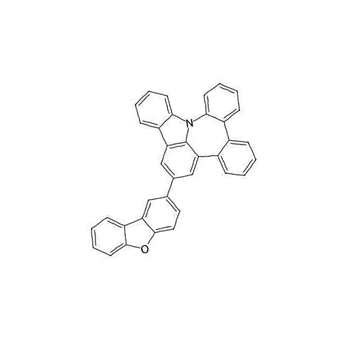 c1ccc2c(c1)-c1ccccc1-n1c3ccccc3c3cc(-c4ccc5oc6ccccc6c5c4)cc-2c31